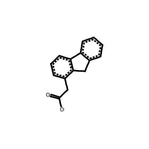 [O]C(=O)Cc1cccc2c1Cc1ccccc1-2